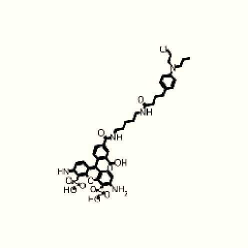 CCCN(CCCl)c1ccc(CCCC(=O)NCCCCCNC(=O)c2ccc(-c3c4ccc(=N)c(S(=O)(=O)O)c-4oc4c(S(=O)(=O)O)c(N)ccc34)c(C(=O)O)c2)cc1